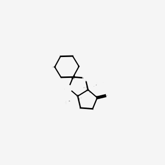 O=C1CC[C@H]2OC3(CCCCC3)O[C@@H]12